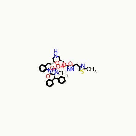 Cc1nc(Cc2nnc(OC[C@@H]3CNC[C@@H](CCc4ccccc4NC(=O)[C@H](C(c4ccccc4)c4ccccc4)N(C)C(=O)O)O3)o2)cs1